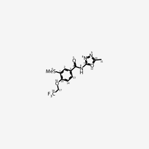 CSc1cc(C(=O)Nc2nnc(C)o2)ccc1OCC(F)(F)F